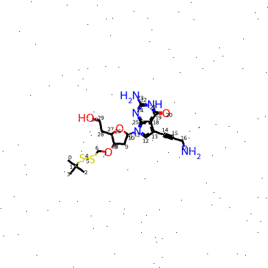 CC(C)(C)SSCO[C@@H]1C[C@H](n2cc(C#CCN)c3c(=O)[nH]c(N)nc32)OC1CCO